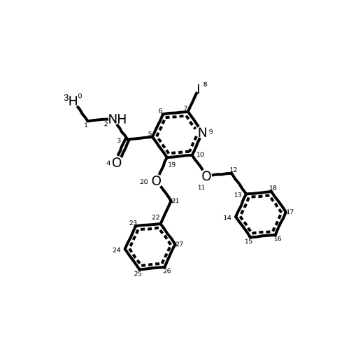 [3H]CNC(=O)c1cc(I)nc(OCc2ccccc2)c1OCc1ccccc1